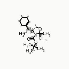 C[C@H](C1=CCCCC1)[C@@H]1COC(C)(C)N1C(=O)OC(C)(C)C